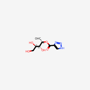 O=C[C@H](OC(=O)c1c[nH]nn1)[C@H](O)[C@H](O)CO